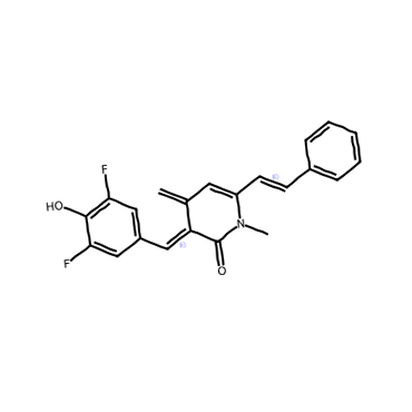 C=c1cc(/C=C/c2ccccc2)n(C)c(=O)/c1=C/c1cc(F)c(O)c(F)c1